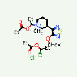 CCC(=O)OC(Cl)CC.CCCCCCOc1nsnc1C1=CCC[N+](C)(C(CC)OC(=O)CC)C1.[Cl-]